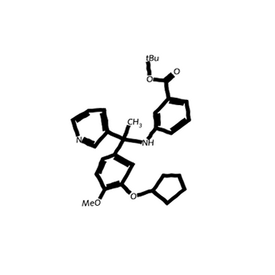 COc1ccc(C(C)(Nc2cccc(C(=O)OC(C)(C)C)c2)c2cccnc2)cc1OC1CCCC1